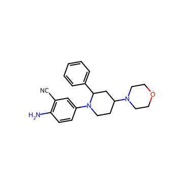 N#Cc1cc(N2CCC(N3CCOCC3)CC2c2ccccc2)ccc1N